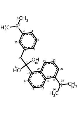 CB(C)c1cccc(CC(O)(O)c2cccc3c(N(C)C)cccc23)c1